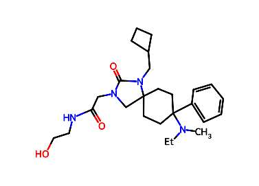 CCN(C)C1(c2ccccc2)CCC2(CC1)CN(CC(=O)NCCO)C(=O)N2CC1CCC1